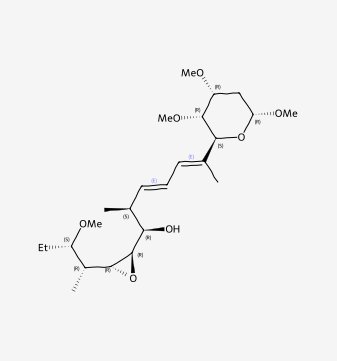 CC[C@H](OC)[C@@H](C)[C@H]1O[C@@H]1[C@H](O)[C@@H](C)/C=C/C=C(\C)[C@@H]1O[C@@H](OC)C[C@@H](OC)[C@H]1OC